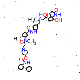 Cc1ccc(C(=O)Nc2ccc(CC(C)NC[C@@H](O)c3ccc(O)c4[nH]c(=O)ccc34)cc2)cc1N(C)C(=O)CCN1CCC(OC(=O)Nc2ccccc2-c2ccccc2)CC1